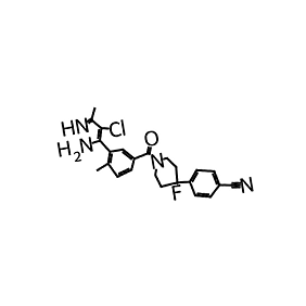 CC(=N)/C(Cl)=C(\N)c1cc(C(=O)N2CCC(F)(c3ccc(C#N)cc3)CC2)ccc1C